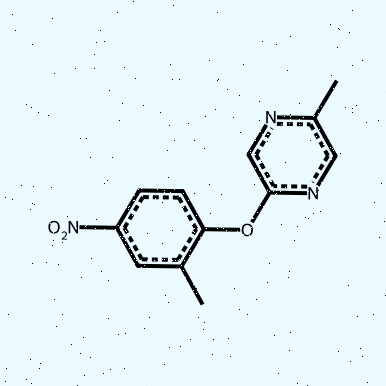 Cc1cnc(Oc2ccc([N+](=O)[O-])cc2C)cn1